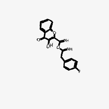 N=C(Cc1ccc(F)cc1)OC(=N)c1oc2ccccc2c(=O)c1O